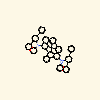 c1ccc(-c2ccc(-c3ccccc3)c(N(c3ccccc3)c3ccc4c5c(c6ccccc6c4c3)-c3cc(N(c4ccccc4)c4cc(-c6ccccc6)ccc4-c4ccccc4)c4ccccc4c3C53c4ccccc4-c4ccccc43)c2)cc1